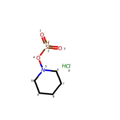 Cl.O=[SH](=O)ON1CCCCC1